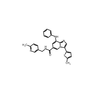 Cc1ccc(CNC(=O)c2cc(Nc3ccccc3)c3ncc(-c4ccc(C)s4)n3c2)cn1